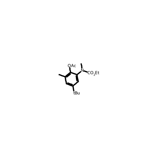 CCOC(=O)N(C)c1cc(C(C)(C)C)cc(C)c1OC(C)=O